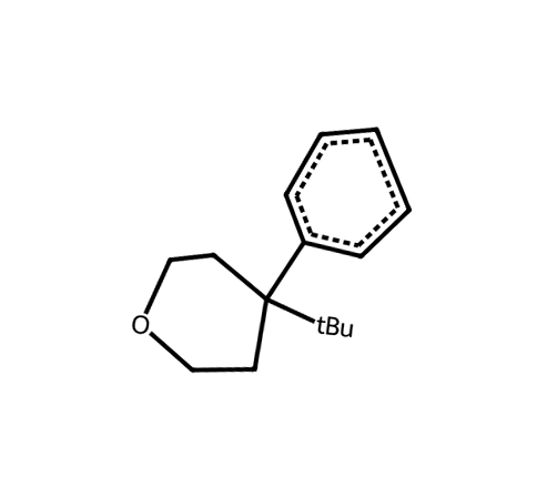 CC(C)(C)C1(c2ccccc2)CCOCC1